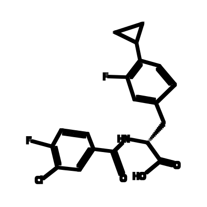 O=C(N[C@H](Cc1ccc(C2CC2)c(F)c1)C(=O)O)c1ccc(F)c(Cl)c1